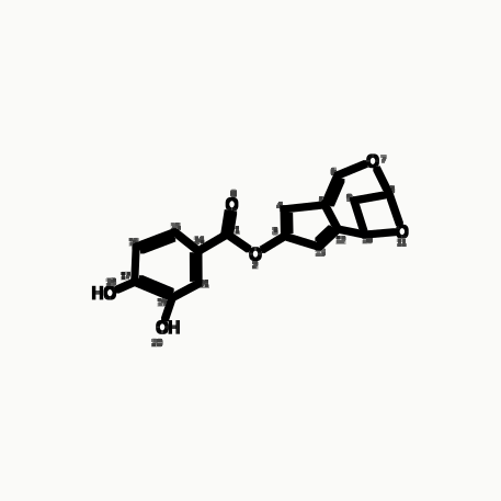 O=C(OC1=CC2=COC3CC(O3)C2=C1)c1ccc(O)c(O)c1